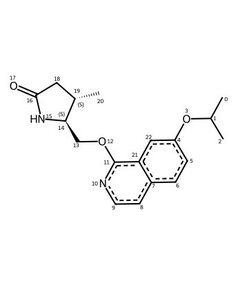 CC(C)Oc1ccc2ccnc(OC[C@H]3NC(=O)C[C@@H]3C)c2c1